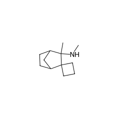 CNC1(C)C2CCC(C2)C12CCC2